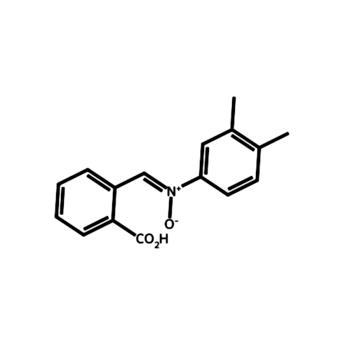 Cc1ccc([N+]([O-])=Cc2ccccc2C(=O)O)cc1C